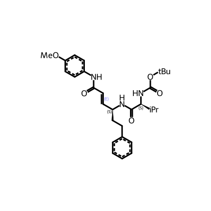 COc1ccc(NC(=O)/C=C/[C@H](CCc2ccccc2)NC(=O)[C@@H](NC(=O)OC(C)(C)C)C(C)C)cc1